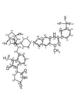 COc1cc2nn([C@H]3CC[C@H](CN4[C@@H]5CC[C@H]4CN(CCc4cccc6c4n(C)c(=O)n6C4CCC(=O)NC4=O)C5)CC3)cc2cc1NC(=O)c1cccc(C(F)(F)F)n1